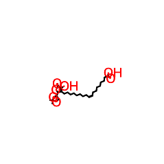 CC1(C)OCC(C2OC(=O)C(O)=C2CCCCCCCC/C=C\CCCCCCCC(=O)O)O1